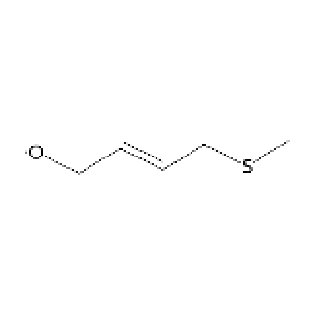 CSCC=CC[O]